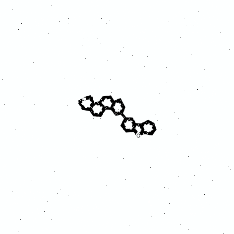 c1ccc2c(c1)ccc1c3cc(-c4ccc5oc6ccccc6c5c4)ccc3ccc21